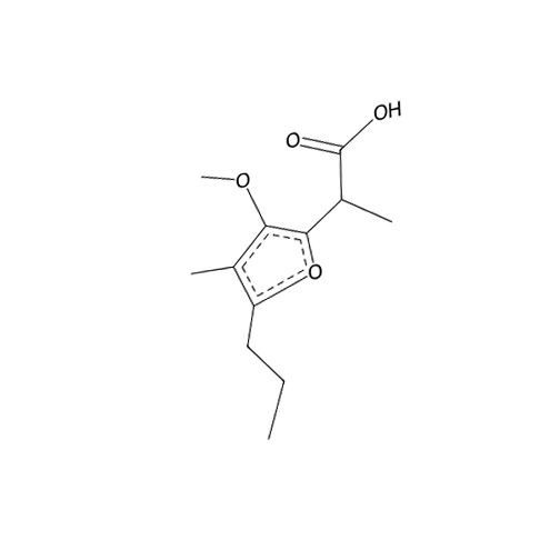 CCCc1oc(C(C)C(=O)O)c(OC)c1C